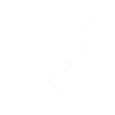 CC(C)(C)OC(=O)N1CCN(c2cnn(Cc3ccccc3)c2)CC1